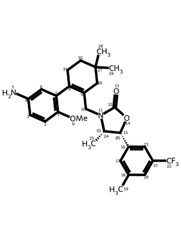 COc1ccc(N)cc1C1=C(CN2C(=O)O[C@H](c3cc(C)cc(C(F)(F)F)c3)[C@@H]2C)CC(C)(C)CC1